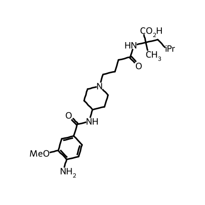 COc1cc(C(=O)NC2CCN(CCCC(=O)NC(C)(CC(C)C)C(=O)O)CC2)ccc1N